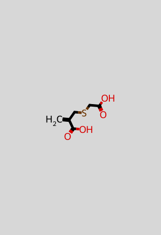 C=C(CSCC(=O)O)C(=O)O